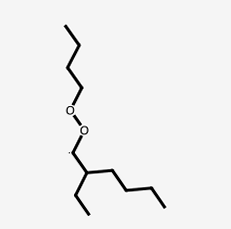 CCCCOO[CH]C(CC)CCCC